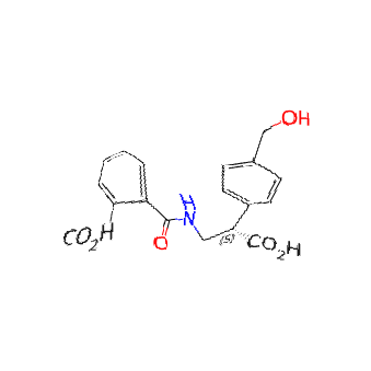 O=C(O)c1ccccc1C(=O)NC[C@@H](C(=O)O)c1ccc(CO)cc1